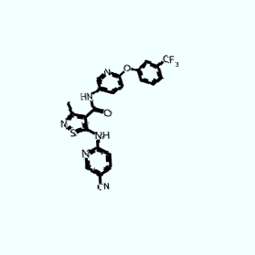 Cc1nsc(Nc2ccc(C#N)cn2)c1C(=O)Nc1ccc(Oc2cccc(C(F)(F)F)c2)nc1